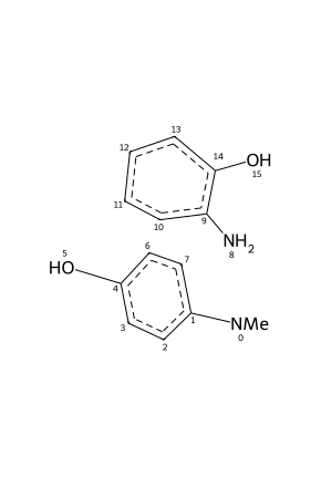 CNc1ccc(O)cc1.Nc1ccccc1O